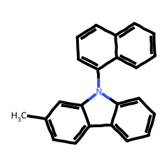 Cc1ccc2c3ccccc3n(-c3cccc4ccccc34)c2c1